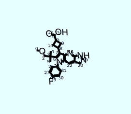 COCC(C)(C)c1c(C2CC(C(=O)O)C2)c2nc3[nH]ncc3cc2n1-c1ccc(F)cc1